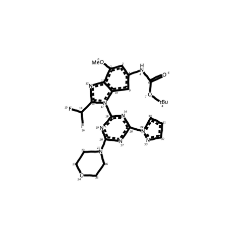 COc1cc(NC(=O)OC(C)(C)C)cc2c1nc(C(F)F)n2-c1nc(N2CCOCC2)nc(-n2cccn2)n1